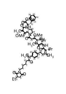 CCC1CC(=O)N(CCCCCC(=O)N(C)c2ccc(CCN(C)[C@H](C(=O)N[C@H](C(=O)N(C)[C@@H]([C@@H](C)CC)[C@@H](CC(=O)N3CCC[C@H]3[C@H](OC)[C@@H](C)C(=O)N[C@@H](Cc3ccccc3)C(=O)OC)OC)C(C)C)C(C)C)cc2)C1=O